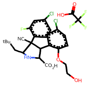 CC(C)(C)CC1NC(C(=O)O)C(c2cc(Cl)ccc2OCCO)C1(C#N)c1ccc(Cl)cc1F.O=C(O)C(F)(F)F